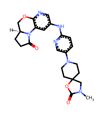 CN1CC2(CCN(c3ccc(Nc4cnc5c(c4)N4C(=O)CC[C@H]4CO5)nc3)CC2)OC1=O